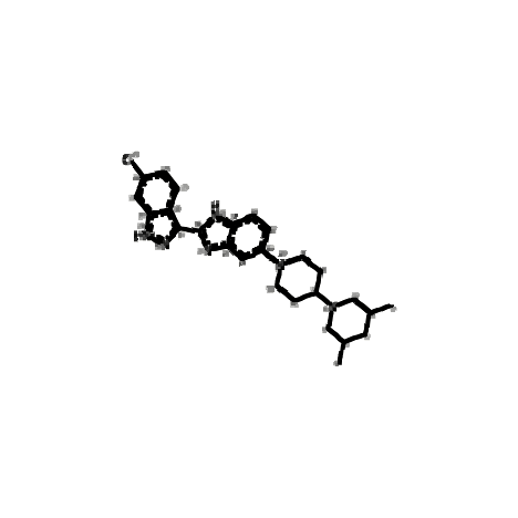 CC1CC(C)CN(C2CCN(c3ccc4[nH]c(-c5n[nH]c6cc(Cl)ccc56)nc4c3)CC2)C1